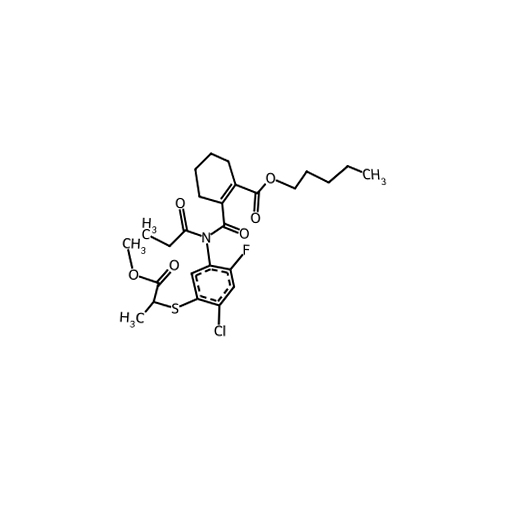 CCCCCOC(=O)C1=C(C(=O)N(C(=O)CC)c2cc(SC(C)C(=O)OC)c(Cl)cc2F)CCCC1